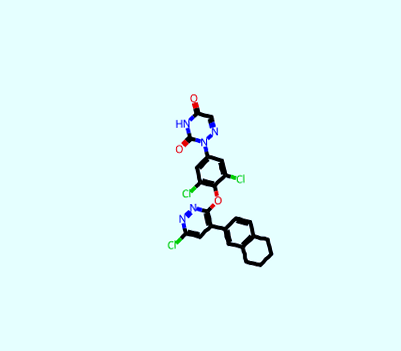 O=c1cnn(-c2cc(Cl)c(Oc3nnc(Cl)cc3-c3ccc4c(c3)CCCC4)c(Cl)c2)c(=O)[nH]1